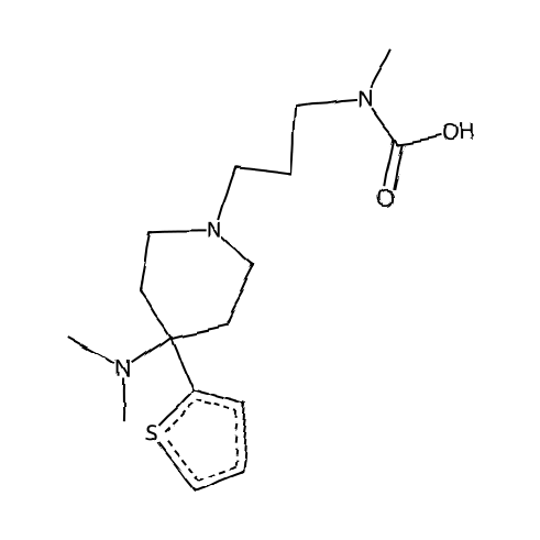 CN(CCCN1CCC(c2cccs2)(N(C)C)CC1)C(=O)O